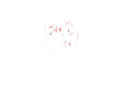 CCCCCCCC(C(=O)O)C(C(=O)O)(C(=O)O)C(=O)O